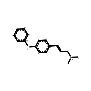 CN(C)CC=Cc1ccc(Sc2ccccc2)cc1